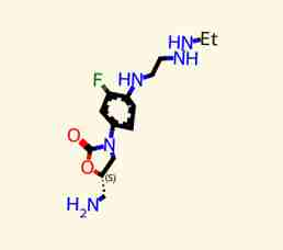 CCNNCCNc1ccc(N2C[C@H](CN)OC2=O)cc1F